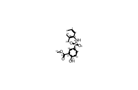 C/C=C\C(NS(=O)(=O)c1ccc(O)c(C(=O)OC)c1)=C(C)C